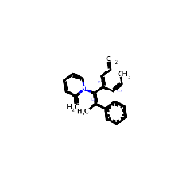 C=C/C=C(\C=C/C)C(=C(/C)c1ccccc1)/N1C=CC=CC1=C